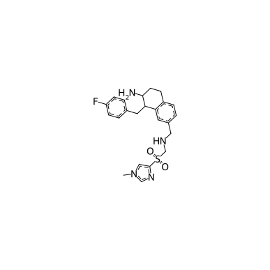 Cn1cnc(S(=O)(=O)CNCc2ccc3c(c2)C(Cc2ccc(F)cc2)C(N)CC3)c1